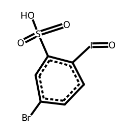 O=Ic1ccc(Br)cc1S(=O)(=O)O